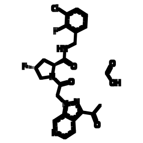 CC(=O)c1nn(CC(=O)N2C[C@H](F)C[C@H]2C(=O)NCc2cccc(Cl)c2F)c2cnccc12.O=CO